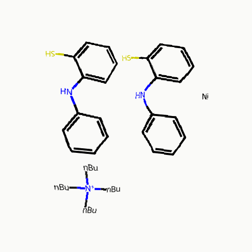 CCCC[N+](CCCC)(CCCC)CCCC.Sc1ccccc1Nc1ccccc1.Sc1ccccc1Nc1ccccc1.[Ni]